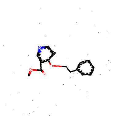 COC(=O)c1cnccc1OCCc1ccccc1